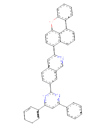 C1=CC(c2cc(-c3ccccc3)nc(-c3ccc4cc(-c5ccc6c7c(cccc57)-c5ccccc5O6)ncc4c3)n2)=CCC1